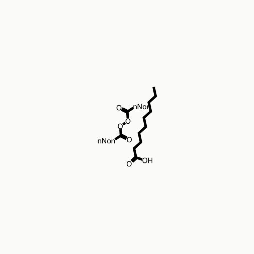 CCCCCCCCCC(=O)O.CCCCCCCCCC(=O)OOC(=O)CCCCCCCCC